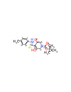 Cc1ccc(NC(=S)C2=C(O)CN(C(=O)OC(C)(C)C)CC2=O)cc1